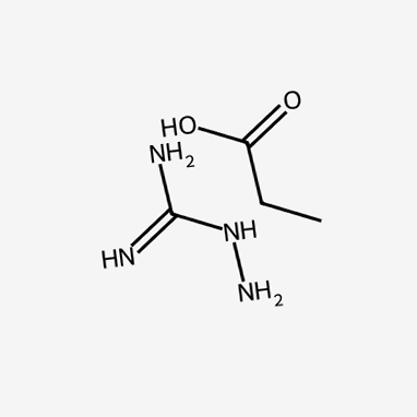 CCC(=O)O.N=C(N)NN